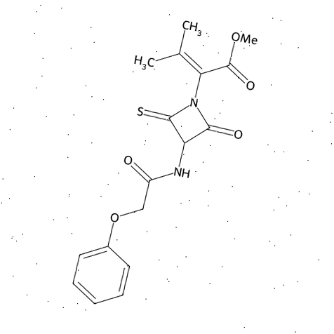 COC(=O)C(=C(C)C)N1C(=O)C(NC(=O)COc2ccccc2)C1=S